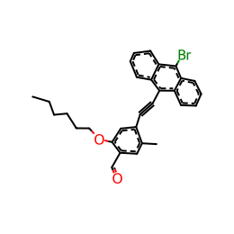 CCCCCCOc1cc(C#Cc2c3ccccc3c(Br)c3ccccc23)c(C)cc1C=O